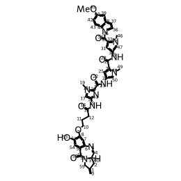 C=C1C[C@H]2C=Nc3cc(OCCCC(=O)Nc4cn(C)c(C(=O)Nc5cc(C(=O)Nc6cc(C(=O)n7ccc8cc(OC)ccc87)n(C)c6)n(C)c5)n4)c(O)cc3C(=O)N2C1